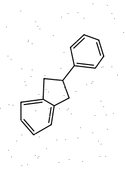 c1ccc(C2Cc3ccccc3C2)cc1